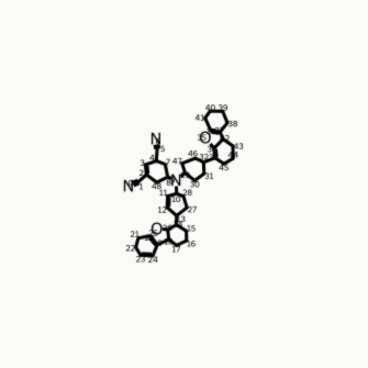 N#CC1=CC(C#N)CC(N(C2C=CC(C3CCCC4C5=C(CCC=C5)OC43)CC2)C2CCC(C3=C4OC5=C(CCCC5)C4CCC3)CC2)C1